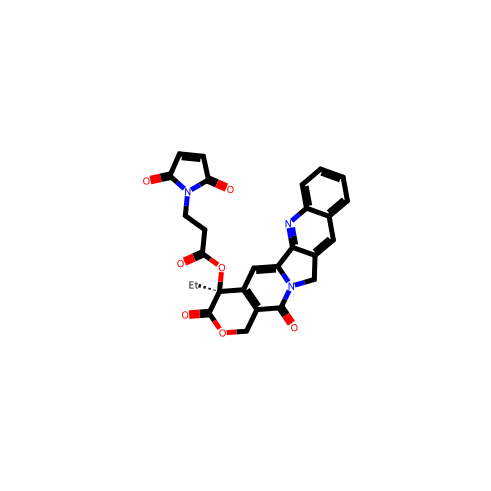 CC[C@@]1(OC(=O)CCN2C(=O)C=CC2=O)C(=O)OCc2c1cc1n(c2=O)Cc2cc3ccccc3nc2-1